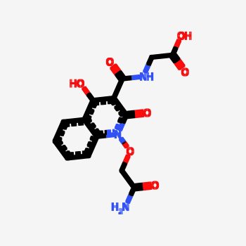 NC(=O)COn1c(=O)c(C(=O)NCC(=O)O)c(O)c2ccccc21